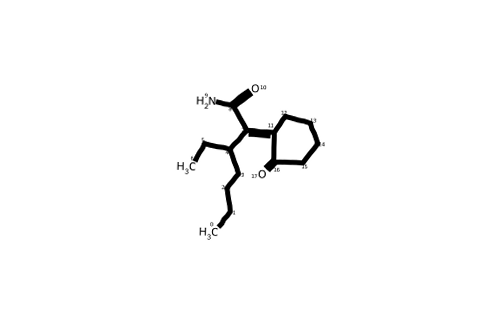 CCCCC(CC)/C(C(N)=O)=C1/CCCCC1=O